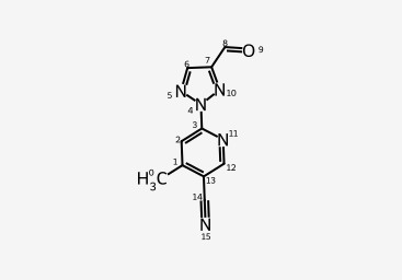 Cc1cc(-n2ncc(C=O)n2)ncc1C#N